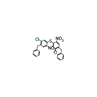 O=[N+]([O-])c1cc(Cc2ccccc2)c(Cl)cc1Sc1cc(Cl)c(Cc2ccccc2)cc1[N+](=O)[O-]